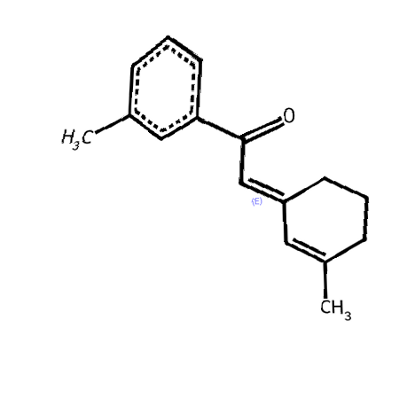 CC1=C/C(=C/C(=O)c2cccc(C)c2)CCC1